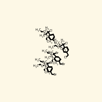 CCO[Si](C)(C)C(C)(Cl)c1ccc(CCl)cc1.CCO[Si](C)(OCC)C(C)(Br)c1ccc(CBr)cc1.CCO[Si](C)(OCC)C(C)(Cl)c1ccc(C)cc1.CCO[Si](OCC)(OCC)C(C)(Br)c1ccc(CBr)cc1